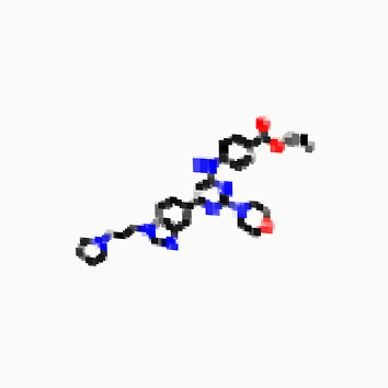 COC(=O)c1ccc(Nc2cc(-c3ccc4c(c3)ncn4CCCN3CCCC3)nc(N3CCOCC3)n2)cc1